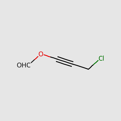 O=COC#CCCl